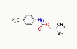 CC(C)[C@@H](C)COC(=O)Nc1ccc(C(F)(F)F)cc1